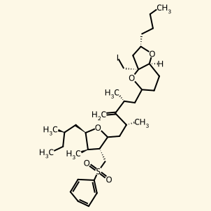 C=C([C@H](C)CC1CC[C@@H]2O[C@@H](CCCC)C[C@]2(CI)O1)[C@H](C)CC1O[C@H](C[C@H](C)CC)[C@H](C)[C@H]1CS(=O)(=O)c1ccccc1